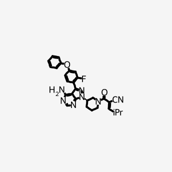 CC(C)C=C(C#N)C(=O)N1CCC[C@@H](n2nc(-c3ccc(Oc4ccccc4)cc3F)c3c(N)ncnc32)C1